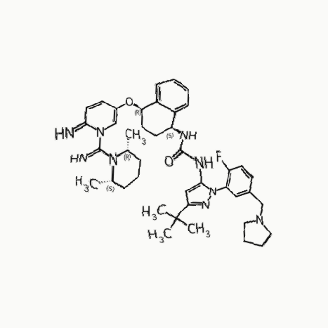 C[C@@H]1CCC[C@H](C)N1C(=N)n1cc(O[C@@H]2CC[C@H](NC(=O)Nc3cc(C(C)(C)C)nn3-c3cc(CN4CCCC4)ccc3F)c3ccccc32)ccc1=N